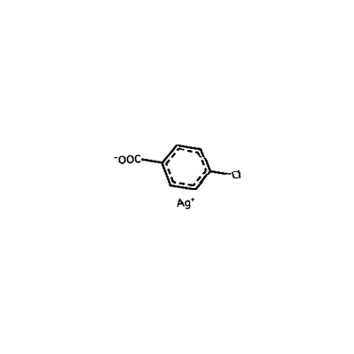 O=C([O-])c1ccc(Cl)cc1.[Ag+]